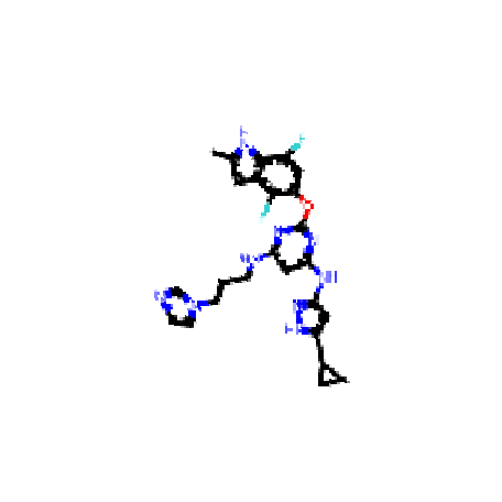 Cc1cc2c(F)c(Oc3nc(NCCCn4ccnc4)cc(Nc4cc(C5CC5)[nH]n4)n3)cc(F)c2[nH]1